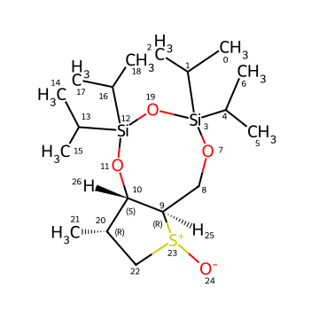 CC(C)[Si]1(C(C)C)OC[C@@H]2[C@@H](O[Si](C(C)C)(C(C)C)O1)[C@@H](C)C[S+]2[O-]